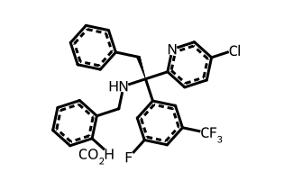 O=C(O)c1ccccc1CN[C@@](Cc1ccccc1)(c1cc(F)cc(C(F)(F)F)c1)c1ccc(Cl)cn1